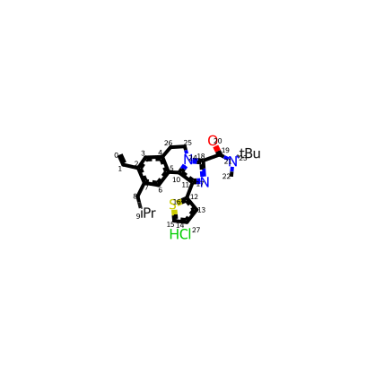 C=Cc1cc2c(cc1CC(C)C)-c1c(-c3cccs3)nc(C(=O)N(C)C(C)(C)C)n1CC2.Cl